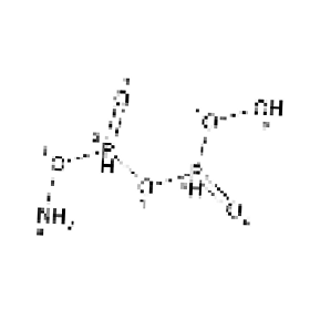 NO[PH](=O)O[PH](=O)OO